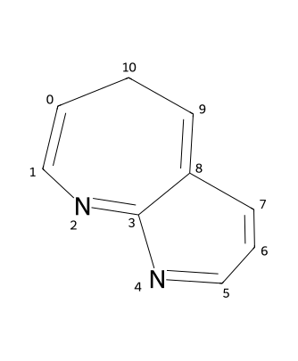 C1=CN=c2ncccc2=CC1